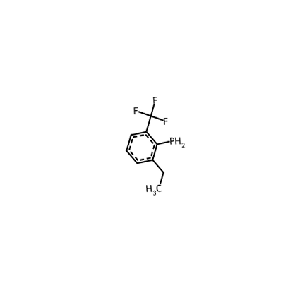 CCc1cccc(C(F)(F)F)c1P